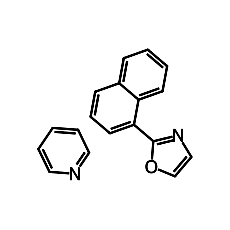 c1ccc2c(-c3ncco3)cccc2c1.c1ccncc1